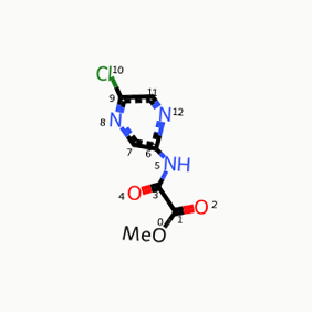 COC(=O)C(=O)Nc1cnc(Cl)cn1